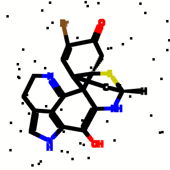 O=C1C[C@@]23S[C@H]4CC2(C=C1Br)C31C2=NCCc3c[nH]c(c32)C(O)=C1N4